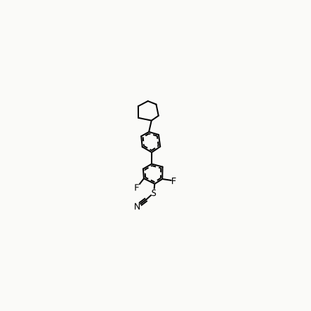 N#CSc1c(F)cc(-c2ccc(C3CCCCC3)cc2)cc1F